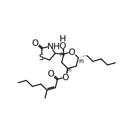 CCCCC[C@@H]1C[C@@H](OC(=O)C=C(C)CCCC)C[C@](O)(C2CSC(=O)N2)O1